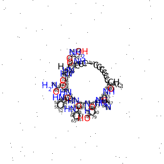 CC(=O)C[C@]1(C)CCCCCCC=CCCC[C@@](C)(C(=O)N[C@@H](CO)C(N)=O)NN[C@@H](CC(C)C)C(=O)C(=O)[C@H](CCC(N)=O)NC(=O)[C@H](Cc2c[nH]c3ccccc23)NC(=O)[C@H](Cc2c[nH]c3ccccc23)NC(=O)[C@H](Cc2ccc(O)cc2)NC(=O)[C@H](Cc2cnc[nH]2)NC1=O